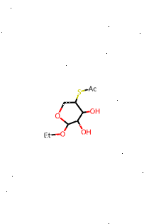 CCOC1OCC(SC(C)=O)C(O)C1O